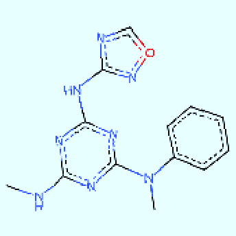 CNc1nc(Nc2ncon2)nc(N(C)c2ccccc2)n1